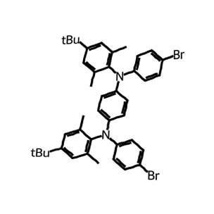 Cc1cc(C(C)(C)C)cc(C)c1N(c1ccc(Br)cc1)c1ccc(N(c2ccc(Br)cc2)c2c(C)cc(C(C)(C)C)cc2C)cc1